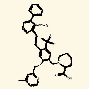 Cc1c(/C=C/c2cc(OCc3cc(I)ccn3)c(CN3CCCCC3C(=O)O)cc2C(F)(F)F)cccc1-c1ccccc1